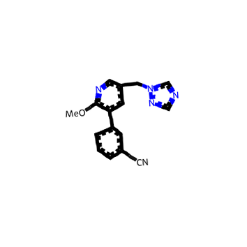 COc1ncc(Cn2cncn2)cc1-c1cccc(C#N)c1